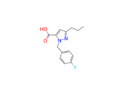 CCCc1cc(C(=O)O)n(Cc2ccc(F)cc2)n1